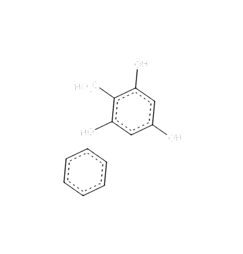 O=C(O)c1c(O)cc(O)cc1O.c1ccccc1